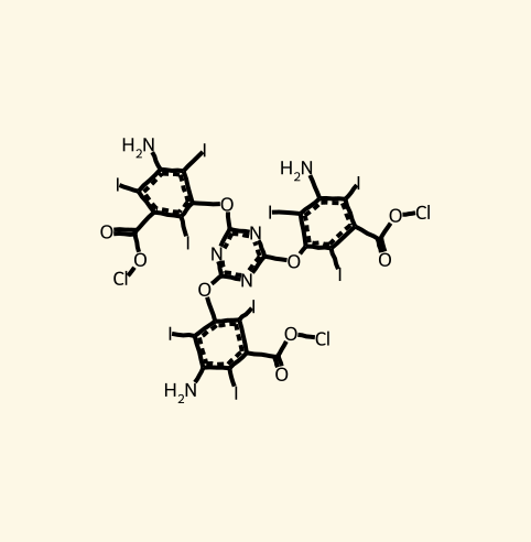 Nc1c(I)c(Oc2nc(Oc3c(I)c(N)c(I)c(C(=O)OCl)c3I)nc(Oc3c(I)c(N)c(I)c(C(=O)OCl)c3I)n2)c(I)c(C(=O)OCl)c1I